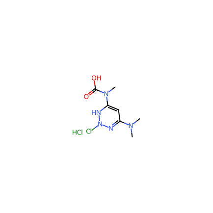 CN(C)C1=NN(Cl)NC(N(C)C(=O)O)=C1.Cl